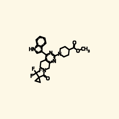 COC(=O)C1CCN(c2nc3c(c(-c4c[nH]c5ccccc45)n2)CCN(C(=O)C2(C(F)(F)F)CC2)C3)CC1